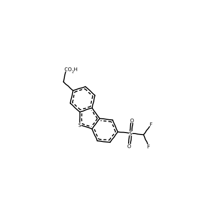 O=C(O)Cc1ccc2c(c1)sc1ccc(S(=O)(=O)C(F)F)cc12